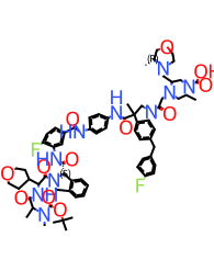 CC(C(=O)NC(C(=O)N1Cc2ccccc2[C@H]1C(=O)Nc1cc(C(=O)Nc2ccc(NC(=O)C3(C)CN(C(=O)CN4CC(C)N(C(=O)O)CC4CN4CCOC[C@H]4C)c4cc(Cc5ccc(F)cc5)ccc43)cc2)ccc1F)C1CCOCC1)N(C)C(=O)OC(C)(C)C